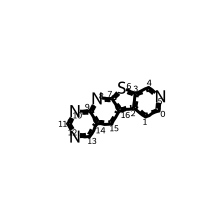 c1cc2c(cn1)sc1nc3ncncc3cc12